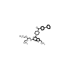 CCOC(COc1nc(N2CCN(C(=O)c3ccc(-c4ccccc4)cc3)CC2)c2cc(CC)sc2n1)OCC